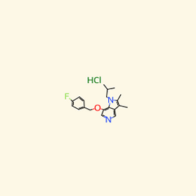 Cc1c(C)n(CC(C)C)c2c(OCc3ccc(F)cc3)cncc12.Cl